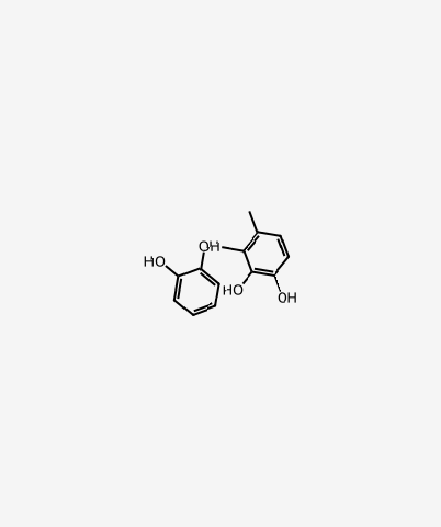 Cc1ccc(O)c(O)c1C.Oc1ccccc1O